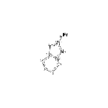 CC(C)[n+]1cc2ccccn2n1